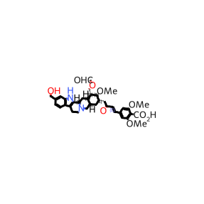 COc1cc(/C=C/C(=O)C[C@@H]2C[C@@H]3CN4CCc5c([nH]c6cc(CO)ccc56)[C@H]4C[C@@H]3[C@H](COC=O)[C@H]2OC)cc(OC)c1C(=O)O